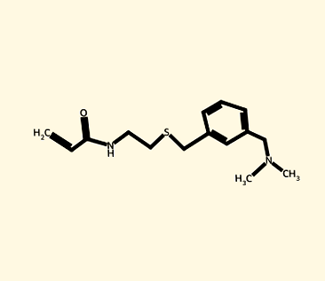 C=CC(=O)NCCSCc1cccc(CN(C)C)c1